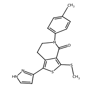 CSc1sc(-c2cc[nH]n2)c2c1C(=O)N(c1ccc(C)cc1)CC2